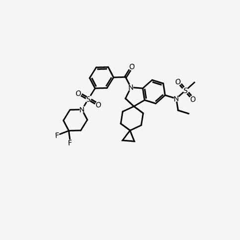 CCN(c1ccc2c(c1)C1(CCC3(CC3)CC1)CN2C(=O)c1cccc(S(=O)(=O)N2CCC(F)(F)CC2)c1)S(C)(=O)=O